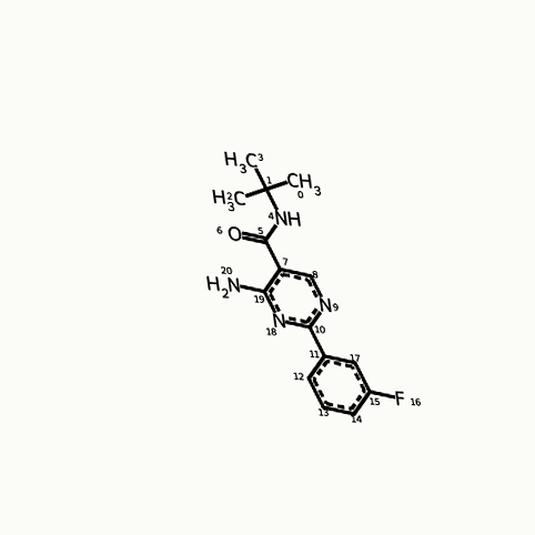 CC(C)(C)NC(=O)c1cnc(-c2cccc(F)c2)nc1N